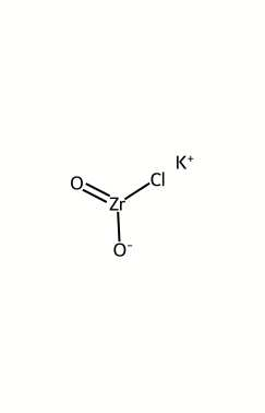 [K+].[O]=[Zr]([O-])[Cl]